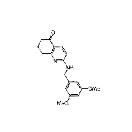 COc1cc(CNc2ccc3c(n2)CCCC3=O)cc(OC)c1